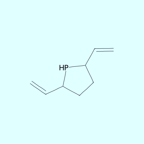 C=CC1CCC(C=C)P1